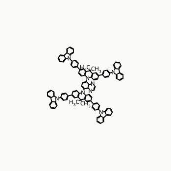 CC1(C)c2cc(-c3ccc(-n4c5ccccc5c5ccccc54)cc3)ccc2N(c2ccc(N3c4ccc(-c5ccc(-n6c7ccccc7c7ccccc76)cc5)cc4C(C)(C)c4cc(-c5ccc(-n6c7ccccc7c7ccccc76)cc5)ccc43)c3nccnc23)c2ccc(-c3ccc(-n4c5ccccc5c5ccccc54)cc3)cc21